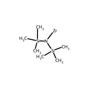 C[Si](C)(C)[N]([Zr])[Si](C)(C)C